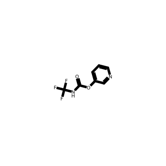 O=C(NC(F)(F)F)Oc1cccnc1